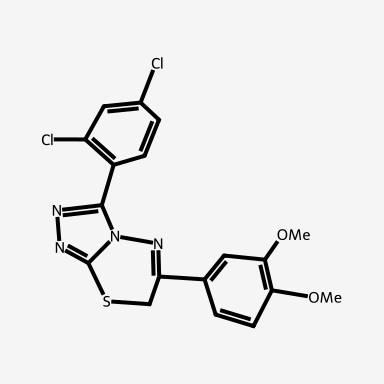 COc1ccc(C2=Nn3c(nnc3-c3ccc(Cl)cc3Cl)SC2)cc1OC